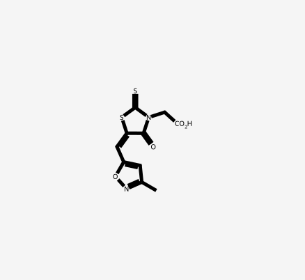 Cc1cc(C=C2SC(=S)N(CC(=O)O)C2=O)on1